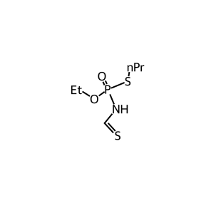 CCCSP(=O)(NC=S)OCC